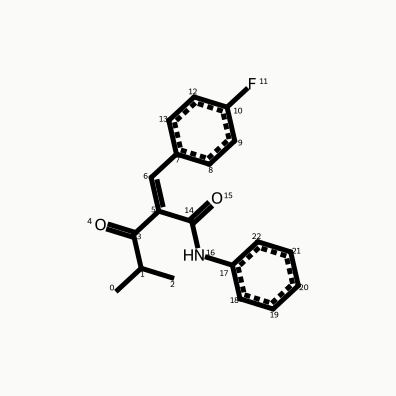 CC(C)C(=O)/C(=C/c1ccc(F)cc1)C(=O)Nc1ccccc1